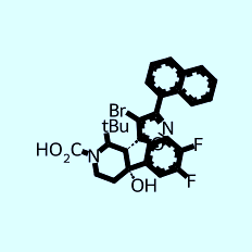 CC(C)(C)C1[C@H](c2onc(-c3cccc4ccccc34)c2Br)[C@@](O)(c2ccc(F)c(F)c2)CCN1C(=O)O